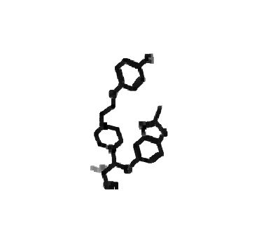 Cc1nc2cc(OC([C@@H](C)O)N3CCN(CCOc4ccc(Cl)cc4)CC3)ccc2s1